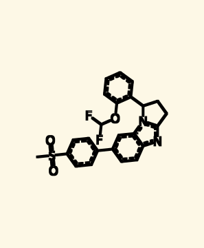 CS(=O)(=O)c1ccc(-c2ccc3nc4n(c3c2)C(c2ccccc2OC(F)F)CC4)cc1